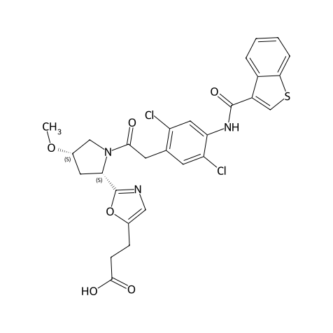 CO[C@H]1C[C@@H](c2ncc(CCC(=O)O)o2)N(C(=O)Cc2cc(Cl)c(NC(=O)c3csc4ccccc34)cc2Cl)C1